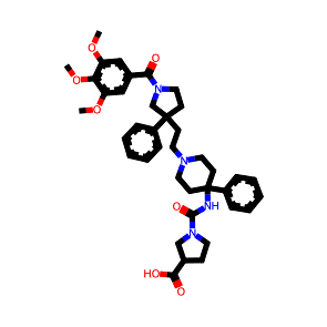 COc1cc(C(=O)N2CCC(CCN3CCC(NC(=O)N4CCC(C(=O)O)C4)(c4ccccc4)CC3)(c3ccccc3)C2)cc(OC)c1OC